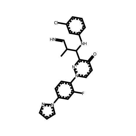 CC(C=N)C(Nc1cccc(Cl)c1)c1nn(-c2ccc(-n3cccn3)cc2F)ccc1=O